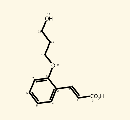 O=C(O)/C=C/c1ccccc1OCCCO